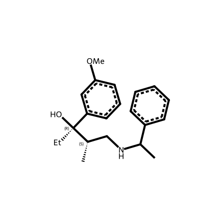 CC[C@](O)(c1cccc(OC)c1)[C@@H](C)CNC(C)c1ccccc1